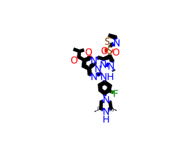 CC(C)C(=O)c1cc2cnc(Nc3ccc(N4C[C@@H](C)N[C@@H](C)C4)c(F)c3)nc2n(Cc2nn(C)cc2S(=O)(=O)c2nccs2)c1=O